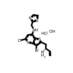 C=C[C@H](N)Cc1sc2c(NCc3nccs3)cc(Cl)nc2c1Br.Cl.Cl